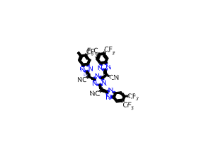 Cc1cc2c(cc1C(F)(F)F)=N/C(=C(/C#N)c1nc(C(C#N)=C3N=c4cc(C(F)(F)F)c(C(F)(F)F)cc4=N3)nc(C(C#N)=C3N=c4cc(C(F)(F)F)c(C(F)(F)F)cc4=N3)n1)N=2